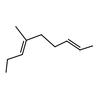 C/[C]=C/CCC(C)=CCC